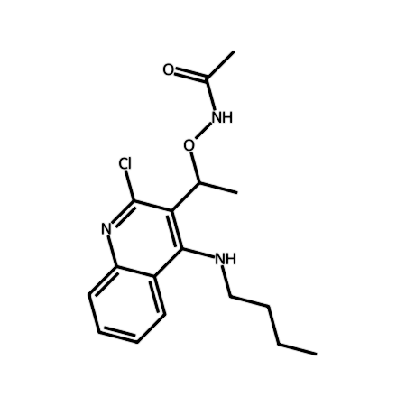 CCCCNc1c(C(C)ONC(C)=O)c(Cl)nc2ccccc12